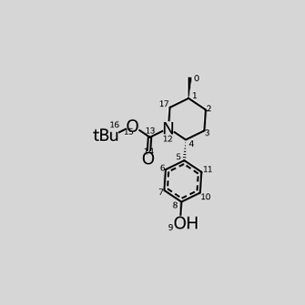 C[C@H]1CC[C@H](c2ccc(O)cc2)N(C(=O)OC(C)(C)C)C1